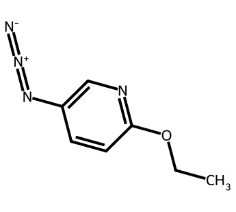 CCOc1ccc(N=[N+]=[N-])cn1